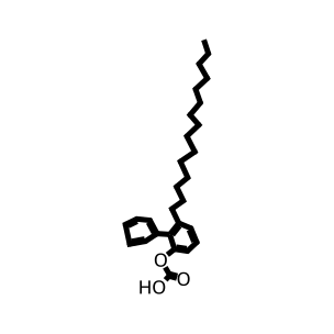 CCCCCCCCCCCCCCCc1cccc(OC(=O)O)c1-c1ccccc1